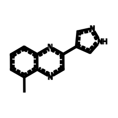 Cc1cccc2nc(-c3cn[nH]c3)cnc12